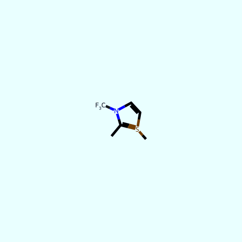 CC1=S(C)C=CN1C(F)(F)F